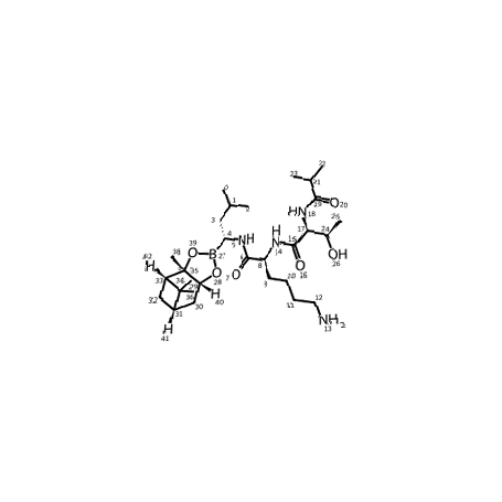 CC(C)C[C@H](NC(=O)[C@H](CCCCN)NC(=O)[C@@H](NC(=O)C(C)C)[C@@H](C)O)B1O[C@@H]2C[C@@H]3C[C@@H](C3(C)C)[C@]2(C)O1